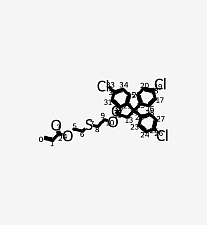 C=CC(=O)OCCSCCOC(=O)CC(c1ccc(Cl)cc1)(c1ccc(Cl)cc1)c1ccc(Cl)cc1